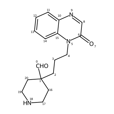 O=CC1(CCCn2c(=O)cnc3ccccc32)CCNCC1